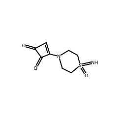 N=S1(=O)CCN(c2cc(=O)c2=O)CC1